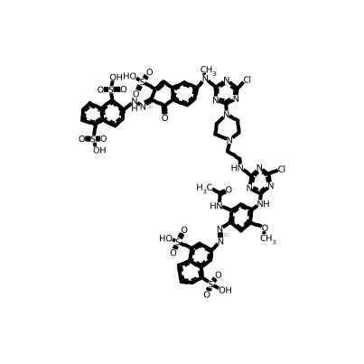 COc1cc(/N=N/c2cc(S(=O)(=O)O)c3cccc(S(=O)(=O)O)c3c2)c(NC(C)=O)cc1Nc1nc(Cl)nc(NCCN2CCN(c3nc(Cl)nc(N(C)c4ccc5c(c4)C=C(S(=O)(=O)O)/C(=N\Nc4ccc6c(S(=O)(=O)O)cccc6c4S(=O)(=O)O)C5=O)n3)CC2)n1